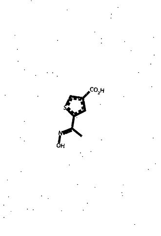 C/C(=N\O)c1cc(C(=O)O)cs1